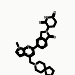 Cn1ccc2c(CN3CCC4(CCCC4)CC3)cc(-c3ccc4c(c3)CN(C3CCC(=O)NC3=O)C4=O)nc21